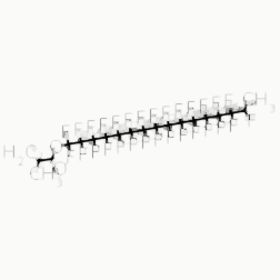 C=C(C)C(=O)OC(F)(F)C(F)(F)C(F)(F)C(F)(F)C(F)(F)C(F)(F)C(F)(F)C(F)(F)C(F)(F)C(F)(F)C(F)(F)C(F)(F)C(F)(F)C(F)(F)C(C)F